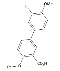 CCOc1ccc(-c2ccc(OC)c(F)c2)cc1C(=O)O